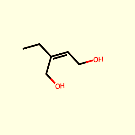 CCC(=CCO)CO